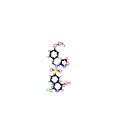 COc1ccc(CN(c2ccon2)S(=O)(=O)c2ccc3c(Cl)ncc(O)c3c2)cc1